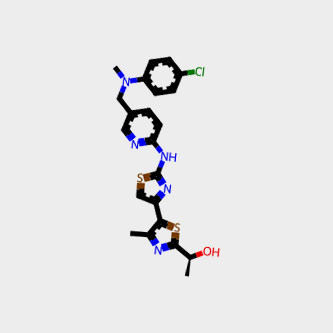 Cc1nc([C@H](C)O)sc1-c1csc(Nc2ccc(CN(C)c3ccc(Cl)cc3)cn2)n1